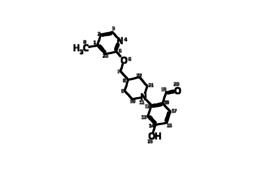 Cc1ccnc(OCC2CCN(c3cc(O)ccc3C=O)CC2)c1